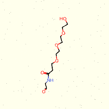 O=CCNC(=O)CCOCCOCCOCCO